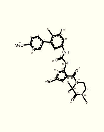 COc1ccc(-c2cc(NC(=O)Nc3sc(C(C)(C)C)cc3C(=O)N3CCN(C)C(=O)C3(C)C)cc(F)c2C)cn1